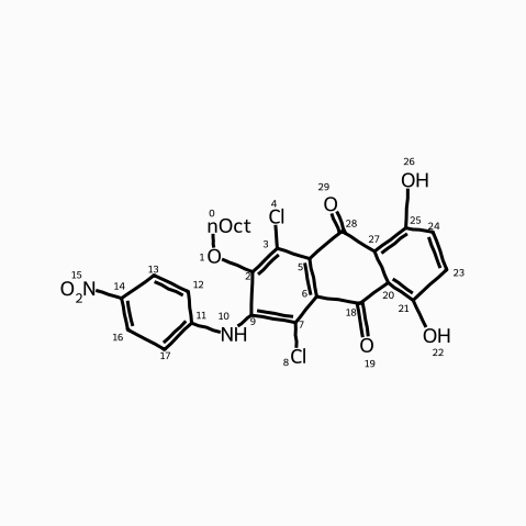 CCCCCCCCOc1c(Cl)c2c(c(Cl)c1Nc1ccc([N+](=O)[O-])cc1)C(=O)c1c(O)ccc(O)c1C2=O